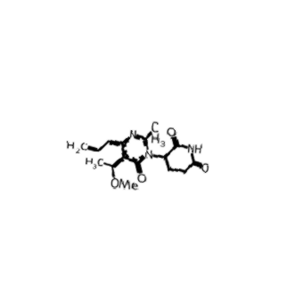 C=C/C=c1/nc(C)n(C2CCC(=O)NC2=O)c(=O)/c1=C(/C)OC